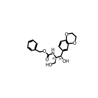 O=C(N[C@H](CO)[C@H](O)c1ccc2c(c1)OCCO2)OCc1ccccc1